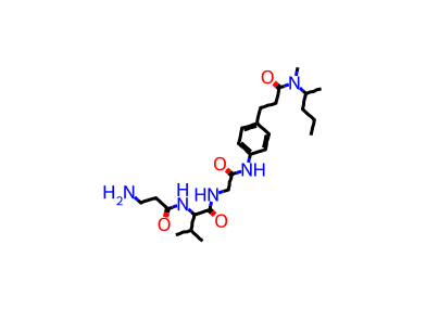 CCCC(C)N(C)C(=O)CCc1ccc(NC(=O)CNC(=O)C(NC(=O)CCN)C(C)C)cc1